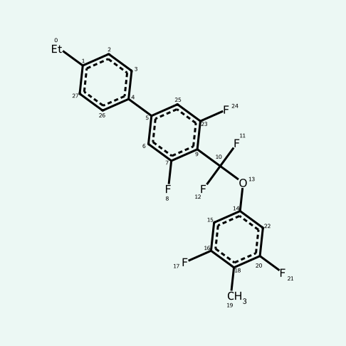 CCc1ccc(-c2cc(F)c(C(F)(F)Oc3cc(F)c(C)c(F)c3)c(F)c2)cc1